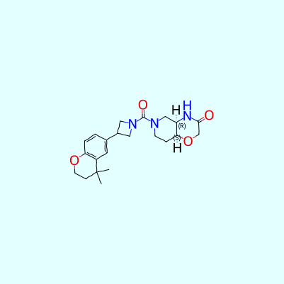 CC1(C)CCOc2ccc(C3CN(C(=O)N4CC[C@@H]5OCC(=O)N[C@@H]5C4)C3)cc21